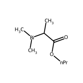 CCCOC(=O)[CH](C)[Bi]([CH3])[CH3]